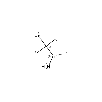 C[C@H](N)C(C)(C)S